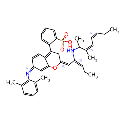 CC/C=C\C=C(\C)C(C)NC(=C/CC)/C=C1\CC(c2ccccc2S(=O)(=O)O)=C2C=C/C(=N/c3c(C)cccc3C)C=C2O1